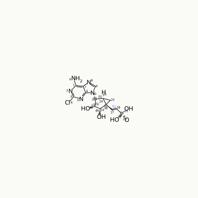 Nc1nc(Cl)nc2c1ncn2[C@H]1[C@H](O)[C@H](O)[C@@]2(/C=C/P(=O)(O)O)C[C@H]12